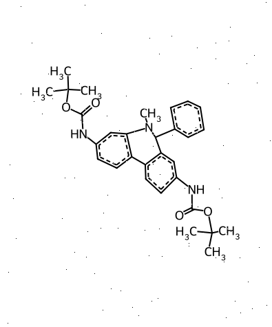 CN1c2cc(NC(=O)OC(C)(C)C)ccc2-c2ccc(NC(=O)OC(C)(C)C)cc2C1c1ccccc1